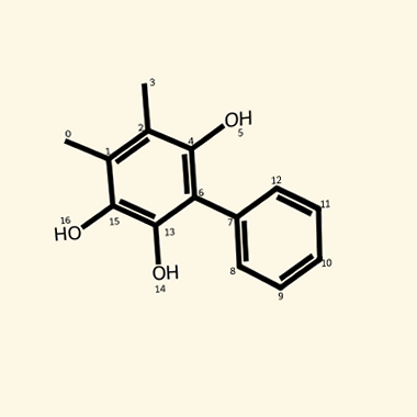 Cc1c(C)c(O)c(-c2ccccc2)c(O)c1O